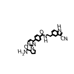 N#Cc1c[nH]c2ccc(CCNC(=O)c3ccc(-c4ccnc(N5CCCC5C(N)=O)n4)cc3)cc12